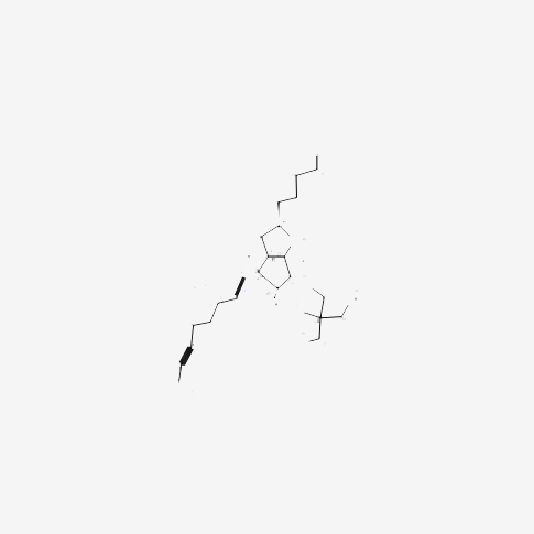 CC#CCC[C@H](O)/C=C/[C@@H]1[C@H]2C[C@@H](CCCCC(=O)O)O[C@H]2C[C@H]1O.NC(CO)(CO)CO